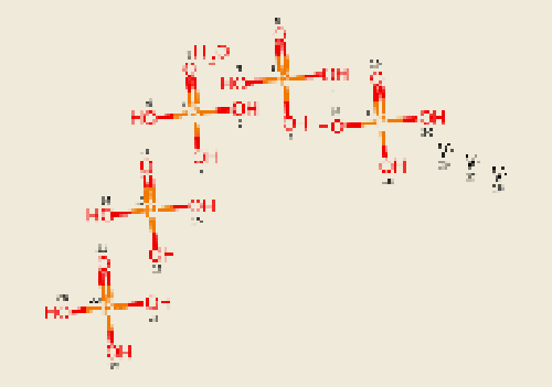 O.O=P(O)(O)O.O=P(O)(O)O.O=P(O)(O)O.O=P(O)(O)O.O=P(O)(O)O.[V].[V].[V]